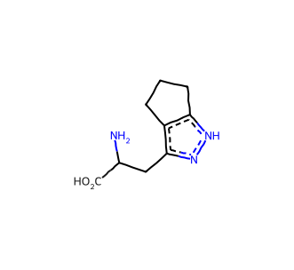 NC(Cc1n[nH]c2c1CCC2)C(=O)O